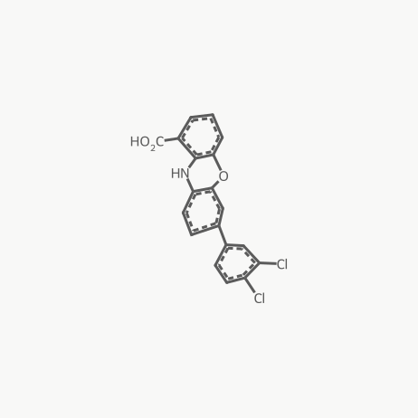 O=C(O)c1cccc2c1Nc1ccc(-c3ccc(Cl)c(Cl)c3)cc1O2